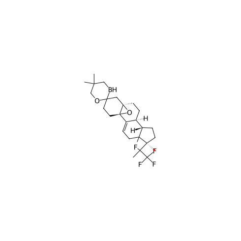 CC1(C)CBC2(CC[C@]34O[C@]3(CC[C@@H]3C4=CCC4(C)[C@H]3CC[C@@]4(C)C(C)(F)C(F)(F)F)C2)OC1